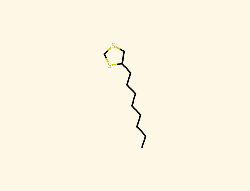 CCCCCCCCC1CSCS1